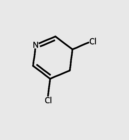 ClC1=CN=CC(Cl)C1